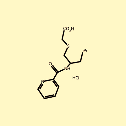 CC(C)CC(CSCC(=O)O)NC(=O)c1ccccn1.Cl